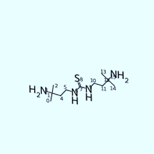 CC(C)(N)CCNC(=S)NCCC(C)(C)N